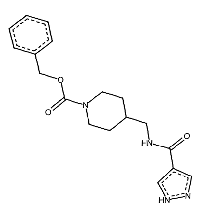 O=C(NCC1CCN(C(=O)OCc2ccccc2)CC1)c1cn[nH]c1